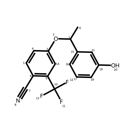 CC(Oc1ccc(C#N)c(C(F)(F)F)c1)c1cccc(O)c1